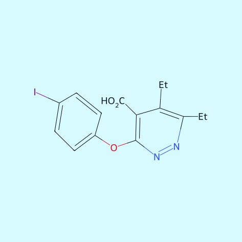 CCc1nnc(Oc2ccc(I)cc2)c(C(=O)O)c1CC